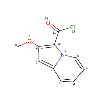 COc1cc2ccccn2c1C(=O)Cl